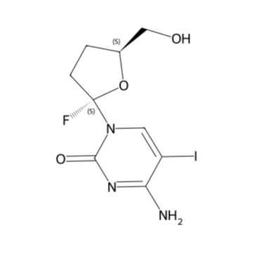 Nc1nc(=O)n([C@@]2(F)CC[C@@H](CO)O2)cc1I